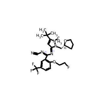 Cn1c(C(C)(C)C)c/c(=N\C(=N\C#N)c2cc(C(F)(F)F)ccc2OCCF)n1C[C@H]1CCCO1